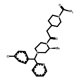 CC(C)(C)[C@H]1CN(C(c2ccc(Cl)cc2)c2ccccn2)CCN1C(=O)CC1CCN(C(N)=O)CC1